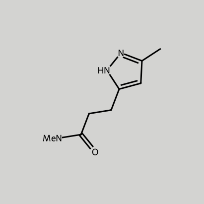 CNC(=O)CCc1cc(C)n[nH]1